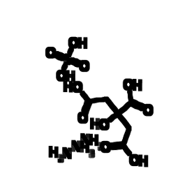 N.N.N.O=C(O)CC(O)(CC(=O)O)C(=O)O.O=S(=O)(O)O